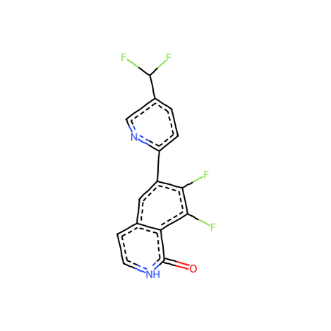 O=c1[nH]ccc2cc(-c3ccc(C(F)F)cn3)c(F)c(F)c12